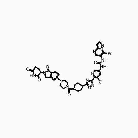 CC(C)c1c(NC(=O)Nc2cnc(-c3noc(C4CCC(C(=O)N5CCN(c6ccc7c(c6)CN(C6CCC(=O)NC6=O)C7=O)CC5)CC4)n3)c(Cl)c2)cnc2ccnn12